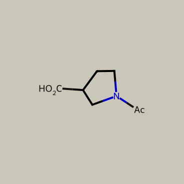 CC(=O)N1CCC(C(=O)O)C1